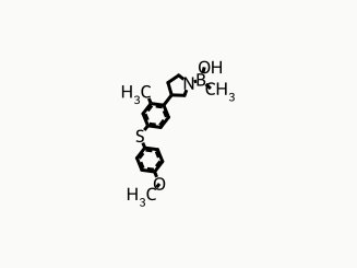 COc1ccc(Sc2ccc(C3CCN(B(C)O)C3)c(C)c2)cc1